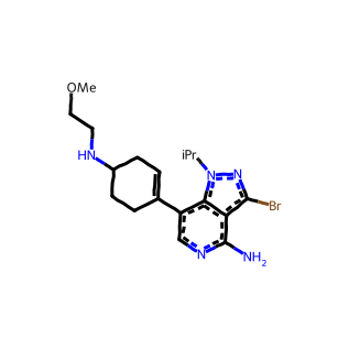 COCCNC1CC=C(c2cnc(N)c3c(Br)nn(C(C)C)c23)CC1